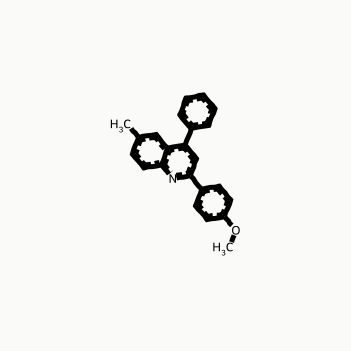 COc1ccc(-c2cc(-c3ccccc3)c3cc(C)ccc3n2)cc1